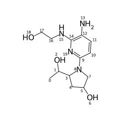 CC(O)C1CC(O)CN1c1ccc(N)c(NCCO)n1